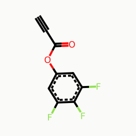 C#CC(=O)Oc1cc(F)c(F)c(F)c1